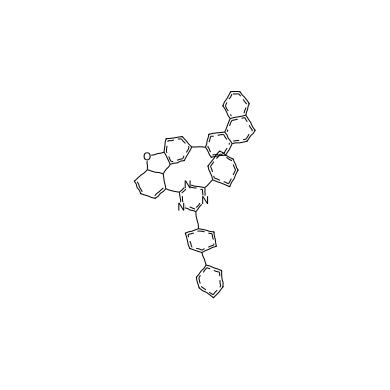 C1=CC2Oc3ccc(-c4ccc5ccc6ccccc6c5c4)cc3C2C(c2nc(-c3ccccc3)nc(-c3ccc(-c4ccccc4)cc3)n2)=C1